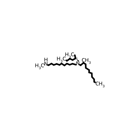 CCCCCCCCCC(C)CN(CCCCCCCCCCCNC)C[C@@H](CC)CCCC